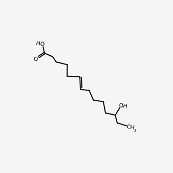 CCC(O)CCCCC=CCCCCC(=O)O